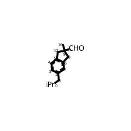 CC(C)Cc1ccc2c(c1)CC(C)(C=O)C2